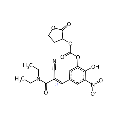 CCN(CC)C(=O)/C(C#N)=C/c1cc(OC(=O)OC2CCOC2=O)c(O)c([N+](=O)[O-])c1